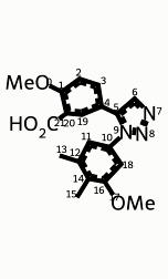 COc1ccc(-c2cnnn2-c2cc(C)c(C)c(OC)c2)cc1C(=O)O